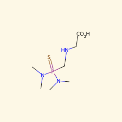 CN(C)P(=S)(CNCC(=O)O)N(C)C